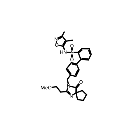 COCCC1=NC2(CCCC2)C(=O)N1Cc1ccc(-c2ccccc2S(=O)(=O)Nc2onc(C)c2C)cc1